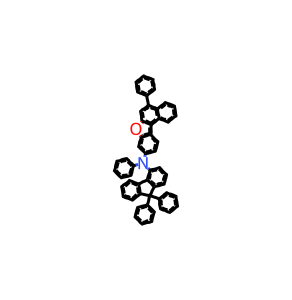 c1ccc(-c2cc3oc4cc(N(c5ccccc5)c5cccc6c5-c5ccccc5C6(c5ccccc5)c5ccccc5)ccc4c3c3ccccc23)cc1